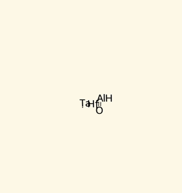 [Hf].[O]=[AlH].[Ta]